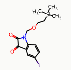 C[Si](C)(C)CCOCN1C(=O)C(=O)c2cc(I)ccc21